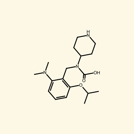 CC(C)Oc1cccc(N(C)C)c1CN(C(=O)O)C1CCNCC1